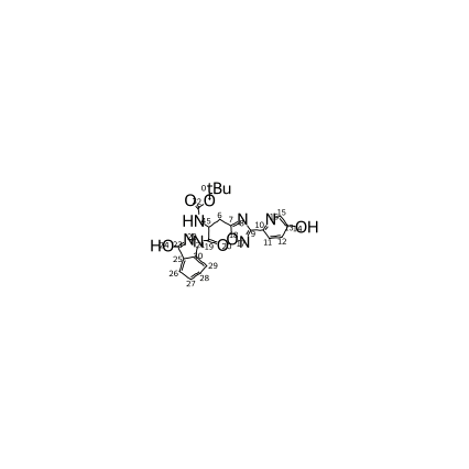 CC(C)(C)OC(=O)NC(Cc1nc(-c2ccc(O)cn2)no1)C(=O)n1nc(O)c2ccccc21